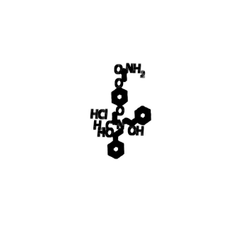 CC(COc1ccc(OCC(N)=O)cc1)N(CC(O)c1ccccc1)CC(O)c1ccccc1.Cl